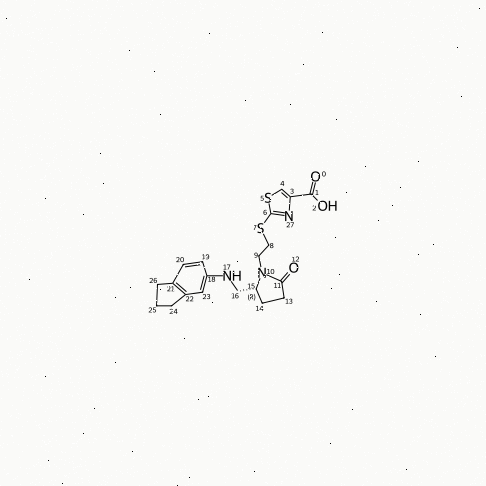 O=C(O)c1csc(SCCN2C(=O)CC[C@@H]2CNc2ccc3c(c2)CCC3)n1